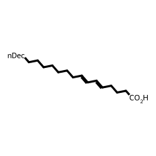 CCCCCCCCCCCCCCCCC/C=C/C=C/CCCC(=O)O